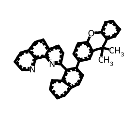 CC1(C)c2ccccc2Oc2ccc(-c3ccc4ccccc4c3-c3ccc4ccc5cccnc5c4n3)cc21